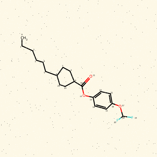 CCCCCCC1CCC(C(=O)Oc2ccc(OC(F)F)cc2)CC1